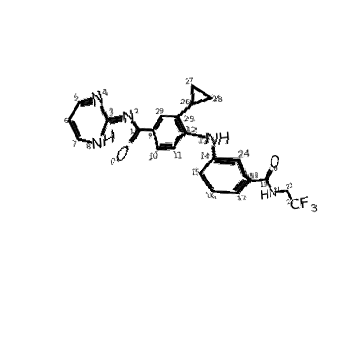 O=C(N=c1nccc[nH]1)c1ccc(Nc2cccc(C(=O)NCC(F)(F)F)c2)c(C2CC2)c1